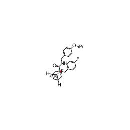 CC(C)Oc1ccc(CNC(=O)N(Cc2ccc(F)cc2)[C@H]2[C@@H]3C[C@H]2CN(C)C3)cc1